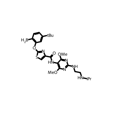 Bc1ccc(C(C)(C)C)cc1Oc1nc(C(=O)Nc2c(OC)nc(NCCNC(C)C)nc2OC)cs1